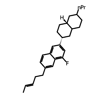 C/C=C/CCc1ccc2cc([C@@H]3CC[C@@H]4CC(CCC)CCC4C3)cc(F)c2c1